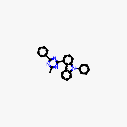 Cc1nc(-c2ccccc2)nc(-c2cccc3c2c2ccccc2n3-c2ccccc2)n1